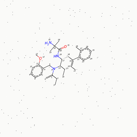 C=C(CC)N(Cc1ccccc1OC)C(CC)[C@@H](C/C(=C/C)c1ccccc1C)NC(=O)C(C)(C)N